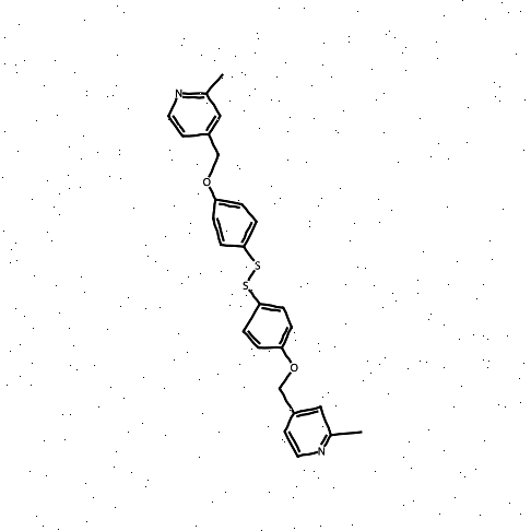 Cc1cc(COc2ccc(SSc3ccc(OCc4ccnc(C)c4)cc3)cc2)ccn1